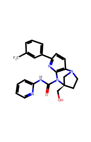 O=C(Nc1ccccn1)N1c2nc(-c3cccc(C(F)(F)F)c3)ccc2N2CC[C@@]1(CO)C2